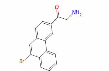 NCC(=O)c1ccc2cc(Br)c3ccccc3c2c1